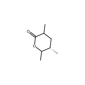 CC1C[C@H](C)C(C)OC1=O